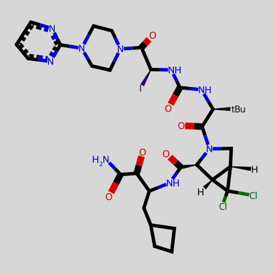 CC(C)(C)[C@H](NC(=O)N[C@@H](I)C(=O)N1CCN(c2ncccn2)CC1)C(=O)N1C[C@H]2[C@@H]([C@H]1C(=O)NC(CC1CCC1)C(=O)C(N)=O)C2(Cl)Cl